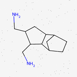 NCC1CC2C3CCC(C3)C2C1CN